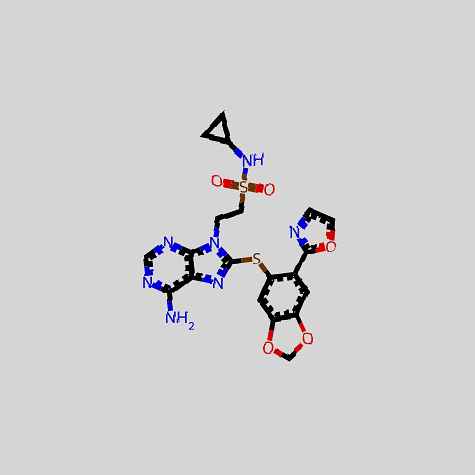 Nc1ncnc2c1nc(Sc1cc3c(cc1-c1ncco1)OCO3)n2CCS(=O)(=O)NC1CC1